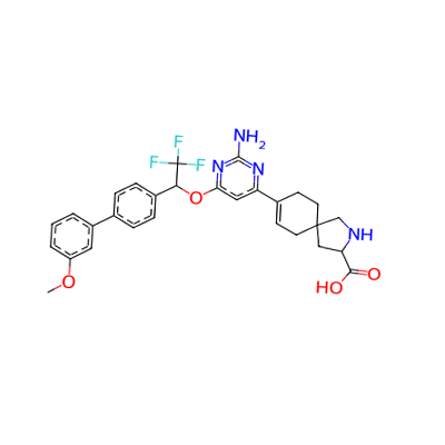 COc1cccc(-c2ccc(C(Oc3cc(C4=CCC5(CC4)CNC(C(=O)O)C5)nc(N)n3)C(F)(F)F)cc2)c1